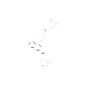 CC1(C)CC(OC(=O)c2cc(C3CCC(C(=O)OC4CC(C)(C)NC(C)(C)C4)CC3)c3ccccc3c2)CC(C)(C)N1